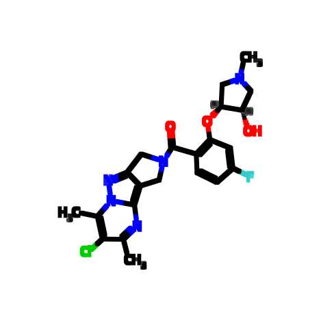 Cc1nc2c3c(nn2c(C)c1Cl)CN(C(=O)c1ccc(F)cc1O[C@H]1CN(C)C[C@@H]1O)C3